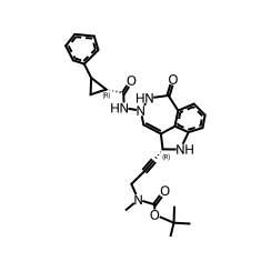 CN(CC#C[C@H]1Nc2cccc3c2C1=CN(NC(=O)[C@@H]1CC1c1ccccc1)NC3=O)C(=O)OC(C)(C)C